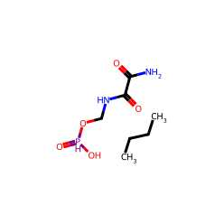 CCCC.NC(=O)C(=O)NCO[PH](=O)O